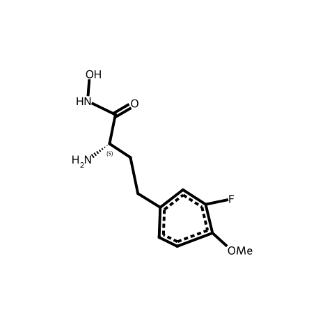 COc1ccc(CC[C@H](N)C(=O)NO)cc1F